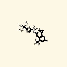 CC(C)(O)c1ncc(S(C)(=O)=NC(=O)Cc2c(C3CC3)cc(F)cc2C(F)(F)F)s1